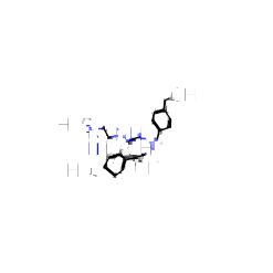 C=C(CN(Cc1ccc(CC)cc1)CC(C)(C)c1ccc(C)cc1)NCCNC